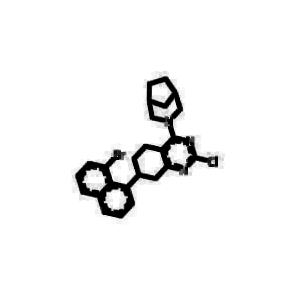 Clc1nc2c(c(N3CC4CCC(C4)C3)n1)CCC(c1cccc3cccc(Br)c13)C2